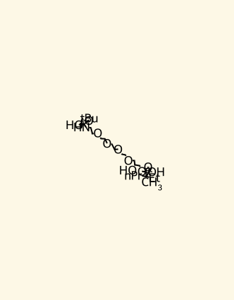 CCCC(C)(CC)P(=O)(O)OCC(O)COCCOCCOCCOCCNP(=O)(O)C(C)(C)C